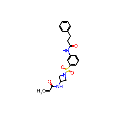 C=CC(=O)NC1CN(S(=O)(=O)c2cccc(NC(=O)CCc3ccccc3)c2)C1